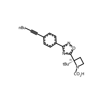 CCCCC#Cc1ccc(-c2noc([C@@]3(C(C)(C)C)CCN3C(=O)O)n2)cc1